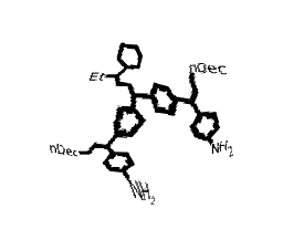 CCCCCCCCCCCCC(c1ccc(N)cc1)c1ccc(C(CCC(CC)C2CCCCC2)c2ccc(C(CCCCCCCCCCCC)c3ccc(N)cc3)cc2)cc1